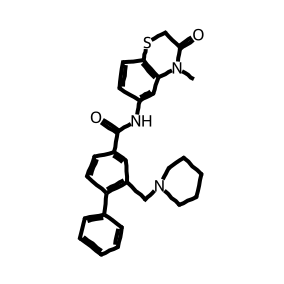 CN1C(=O)CSc2ccc(NC(=O)c3ccc(-c4ccccc4)c(CN4CCCCC4)c3)cc21